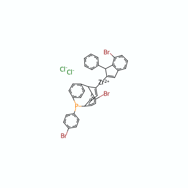 Brc1ccc(P2c3ccc(cc3)C3[C]([Zr+2][C]4=Cc5cccc(Br)c5C4c4ccccc4)=Cc4c2ccc(Br)c43)cc1.[Cl-].[Cl-]